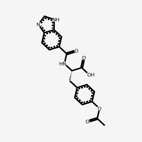 CC(=O)Oc1ccc(C[C@H](NC(=O)c2ccc3nc[nH]c3c2)C(=O)O)cc1